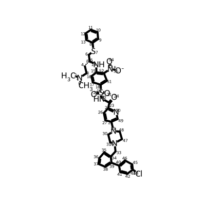 CN(C)CC[C@H](CSc1ccccc1)Nc1ccc(S(=O)(=O)NC(=O)c2ccc(N3CCN(Cc4ccccc4-c4ccc(Cl)cc4)CC3)cn2)cc1[N+](=O)[O-]